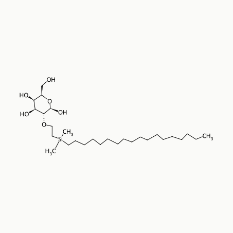 CCCCCCCCCCCCCCCCCC[Si](C)(C)CCO[C@@H]1[C@@H](O)[C@@H](O)[C@@H](CO)O[C@H]1O